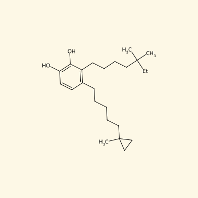 CCC(C)(C)CCCCc1c(CCCCCC2(C)CC2)ccc(O)c1O